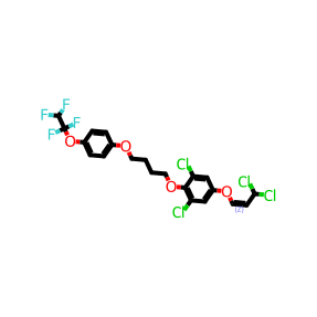 FC(F)C(F)(F)Oc1ccc(OCCCCOc2c(Cl)cc(O/C=C\C(Cl)Cl)cc2Cl)cc1